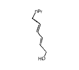 CCCCC=C/C=C/CO